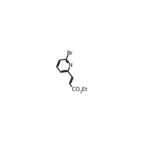 CCOC(=O)/C=C/c1cccc(Br)n1